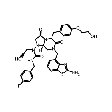 C#CCN(C(=O)NCc1ccc(F)cc1)N1CC(=O)N2[C@@H](Cc3ccc(OCCO)cc3)C(=O)N(Cc3cccc4sc(N)nc34)C[C@@H]21